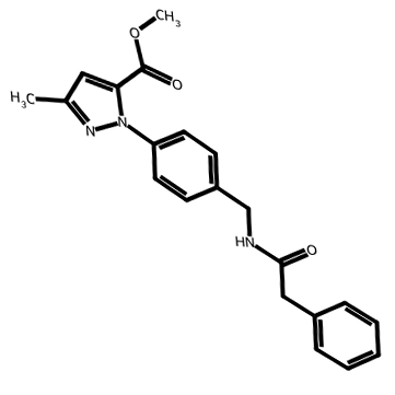 COC(=O)c1cc(C)nn1-c1ccc(CNC(=O)Cc2ccccc2)cc1